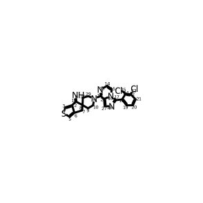 N=C1c2cscc2CC12CCN(c1nccn3c(-c4cccc(Cl)c4Cl)ncc13)CC2